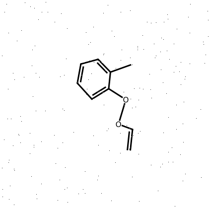 C=COOc1ccccc1C